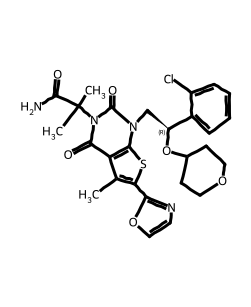 Cc1c(-c2ncco2)sc2c1c(=O)n(C(C)(C)C(N)=O)c(=O)n2C[C@H](OC1CCOCC1)c1ccccc1Cl